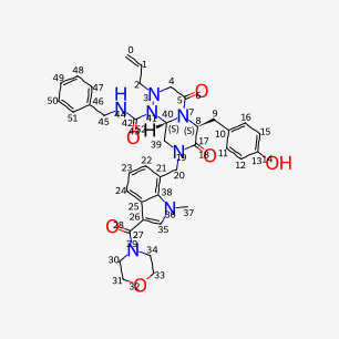 C=CCN1CC(=O)N2[C@@H](Cc3ccc(O)cc3)C(=O)N(Cc3cccc4c(C(=O)N5CCOCC5)cn(C)c34)C[C@@H]2N1C(=O)NCc1ccccc1